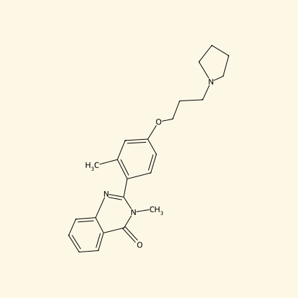 Cc1cc(OCCCN2CCCC2)ccc1-c1nc2ccccc2c(=O)n1C